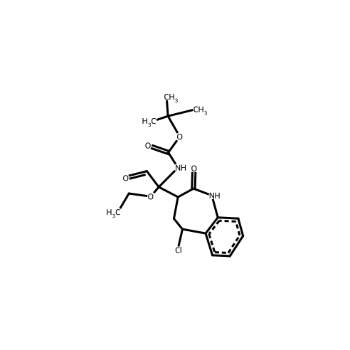 CCOC(C=O)(NC(=O)OC(C)(C)C)C1CC(Cl)c2ccccc2NC1=O